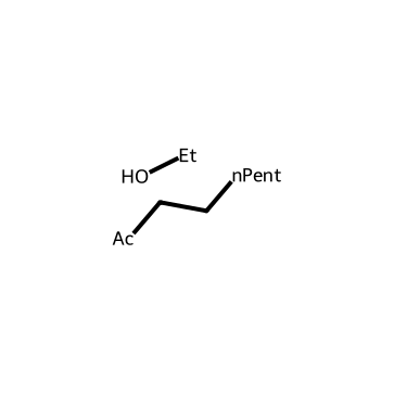 CCCCCCCC(C)=O.CCO